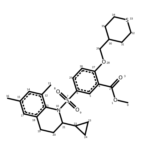 COC(=O)c1cc(S(=O)(=O)N2c3c(C)cc(C)cc3CCC2C2CC2)ccc1OCC1CCSCC1